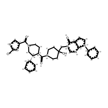 O=C(c1cnc(Cl)s1)N1CC[C@@H](C(=O)N2CCC(O)(Cn3cnc4c(ccn4-c4ccccc4)c3=O)CC2)[C@H](c2ccccc2)C1